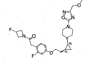 COCc1noc(N2CCC([C@H]3C[C@H]3CCOc3ccc(CC(=O)N4CC(F)C4)c(F)c3)CC2)n1